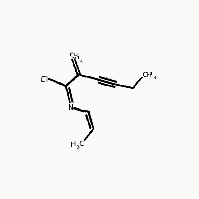 C=C(C#CCC)/C(Cl)=N\C=C/C